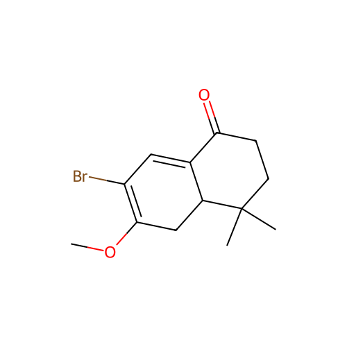 COC1=C(Br)C=C2C(=O)CCC(C)(C)C2C1